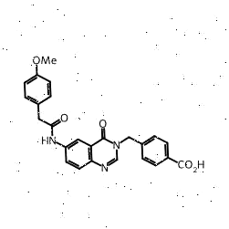 COc1ccc(CC(=O)Nc2ccc3ncn(Cc4ccc(C(=O)O)cc4)c(=O)c3c2)cc1